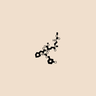 CCOC(=O)NCCN(C)C(=O)CCC(NC(=O)C(CC1CCCCC1)NC(=O)OCc1cccc(Cl)c1)C(=O)OC